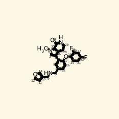 Cn1cc(-c2cc(CNCc3ccoc3)ccc2Oc2ccc(F)cc2F)c2cc[nH]c(=O)c21